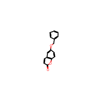 O=c1ccc2cc(OCc3ccccc3)ccc2o1